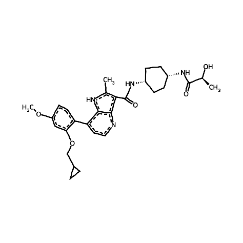 COc1ccc(-c2ccnc3c(C(=O)N[C@H]4CC[C@@H](NC(=O)[C@H](C)O)CC4)c(C)[nH]c23)c(OCC2CC2)c1